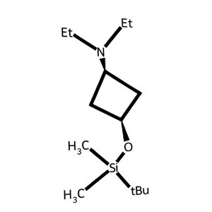 CCN(CC)[C@H]1C[C@@H](O[Si](C)(C)C(C)(C)C)C1